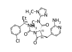 CC[C@@H](NC(=O)N1C(=O)[C@H](Cc2ccnc(N)c2)[C@H]1C(=O)N(C)c1nccn1C)c1cccc(Cl)c1